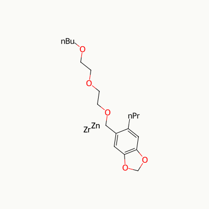 CCCCOCCOCCOCc1cc2c(cc1CCC)OCO2.[Zn].[Zr]